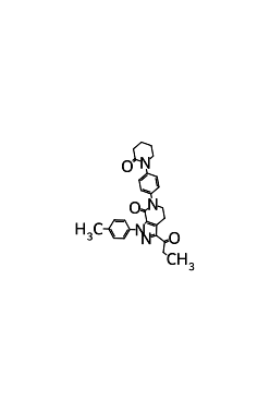 CCC(=O)c1nn(-c2ccc(C)cc2)c2c1CCN(c1ccc(N3CCCCC3=O)cc1)C2=O